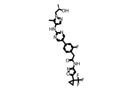 Cc1c(Nc2ncc(-c3ccc(CC(=O)Nc4cc(C5(C(F)(F)F)CC5)on4)c(F)c3)cn2)cnn1C[C@@H](C)O